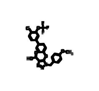 COc1ccc(Cn2nnc(C(=O)O)c2Oc2ccc(-c3ccc(Cl)c(OC(F)(F)F)c3)cc2)cc1